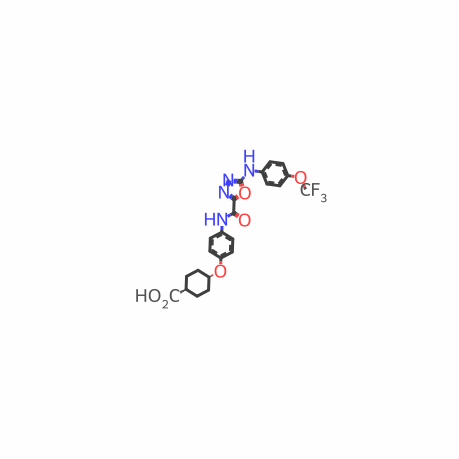 O=C(Nc1ccc(O[C@H]2CC[C@H](C(=O)O)CC2)cc1)c1nnc(Nc2ccc(OC(F)(F)F)cc2)o1